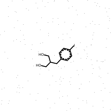 OCC(CO)Cc1ccc(I)cc1